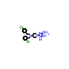 NC1N=C(N2CCC(N(CCc3ccc(Cl)cc3)Cc3ccccc3Br)CC2)NN1